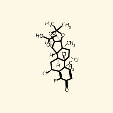 CC1(C)O[C@@H]2C[C@H]3[C@@H]4C[C@H](Cl)C5=C(F)C(=O)C=C[C@]5(C)[C@@]4(Cl)[C@@H](Cl)C[C@]3(C)[C@]2(C(=O)C(O)O)O1